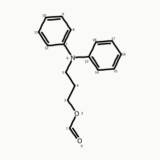 O=[C]OCCCN(c1ccccc1)c1ccccc1